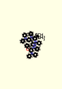 CC(C)(C)C1=CC2C3B(C4=CC5B6c7ccccc7OC7=CC(N(C8=CC=CCC8)C8C=CC=CC8)CC(C67)N(c6ccccc6)C5N=C4N2C2CCCCC2)C2C=CC(N(c4ccccc4)C4C=CC=CC4)=CC2N(C2=CCCC=C2)C3=C1